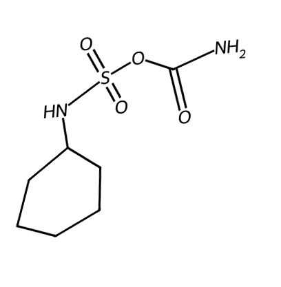 NC(=O)OS(=O)(=O)NC1CCCCC1